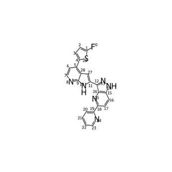 Fc1ccc(-c2ccnc3[nH]c(-c4n[nH]c5ccc(-c6ccccn6)nc45)cc23)s1